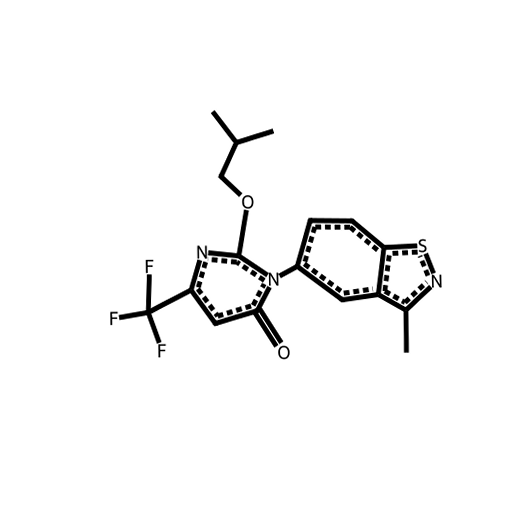 Cc1nsc2ccc(-n3c(OCC(C)C)nc(C(F)(F)F)cc3=O)cc12